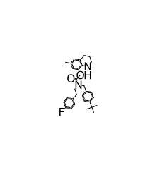 Cc1cc2c(c(OC(=O)N(CCc3ccc(F)cc3)Cc3ccc(C(C)(C)C)cc3)c1)NCCC2